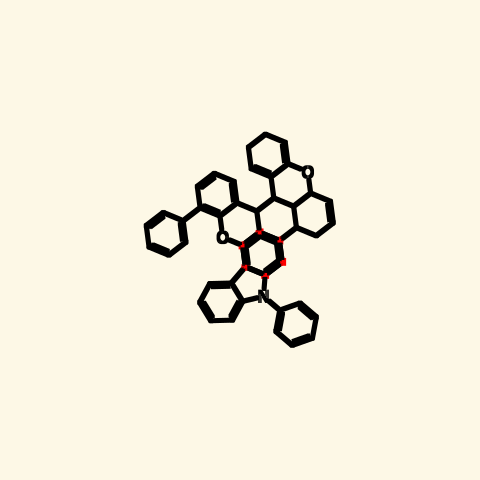 C1=CC2OC3=CCCC=C3C(C3c4ccccc4Oc4c(-c5ccccc5)cccc43)C2C(C2=CC3C(C=C2)c2ccccc2N3c2ccccc2)C1